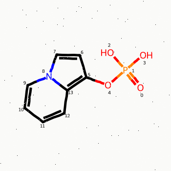 O=P(O)(O)Oc1ccn2ccccc12